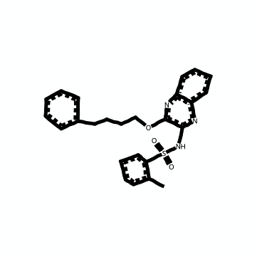 Cc1ccccc1S(=O)(=O)Nc1nc2ccccc2nc1OCCCCc1ccccc1